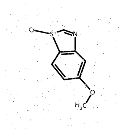 COc1ccc2c(c1)nc[s+]2[O-]